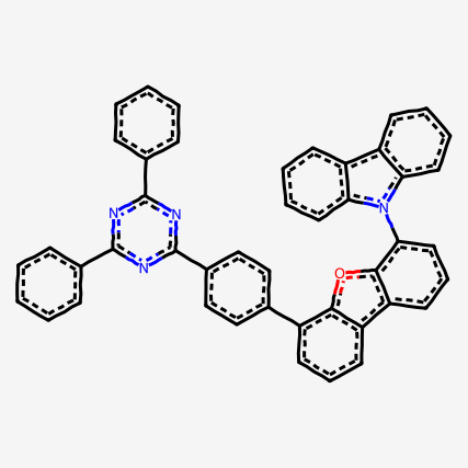 c1ccc(-c2nc(-c3ccccc3)nc(-c3ccc(-c4cccc5c4oc4c(-n6c7ccccc7c7ccccc76)cccc45)cc3)n2)cc1